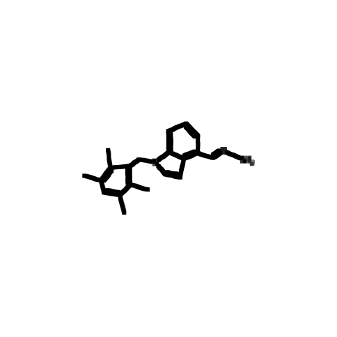 Cc1cc(C)c(C)c(Cn2ccc3c(C=NN)cccc32)c1C